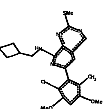 COc1cc(OC)c(Cl)c(-c2cc3cnc(SC)nc3c(NCC3COC3)n2)c1C